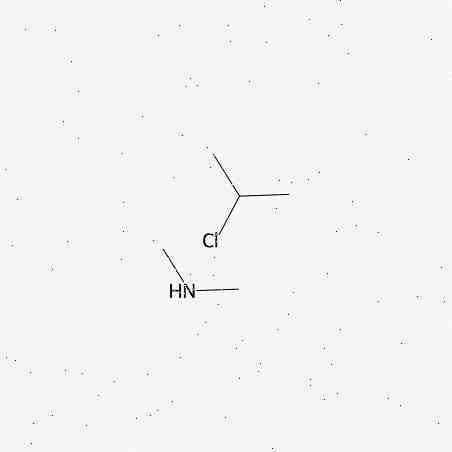 CC(C)Cl.CNC